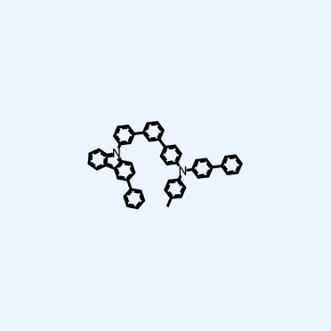 Cc1ccc(N(c2ccc(-c3ccccc3)cc2)c2ccc(-c3cccc(-c4cccc(-n5c6ccccc6c6cc(-c7ccccc7)ccc65)c4)c3)cc2)cc1